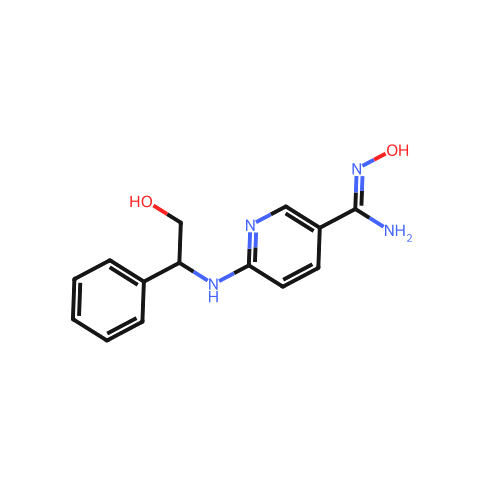 NC(=NO)c1ccc(NC(CO)c2ccccc2)nc1